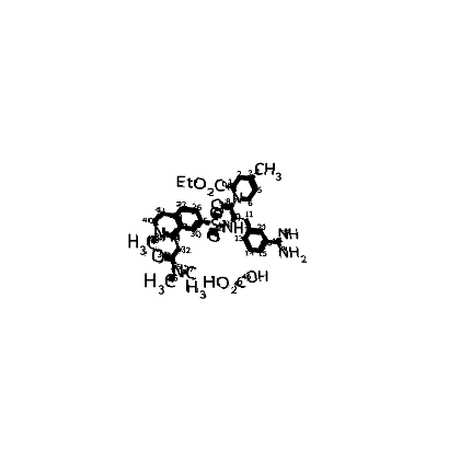 CCOC(=O)[C@H]1CC(C)=CCN1C(=O)[C@H](Cc1cccc(C(=N)N)c1)NS(=O)(=O)c1ccc2c(c1)[C@@H](CC(=O)N(C)C)N(C)CC2.O=C(O)O